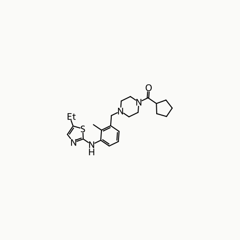 CCc1cnc(Nc2cccc(CN3CCN(C(=O)C4CCCC4)CC3)c2C)s1